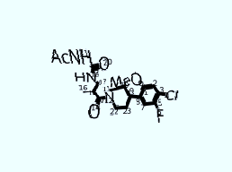 COc1cc(Cl)c(F)cc1C1CCN(C(=O)[C@@H](C)CNC(=O)NC(C)=O)CC1